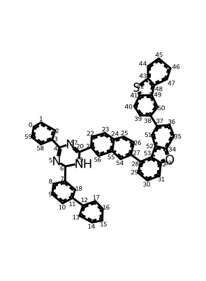 c1ccc(C2=NC(c3cccc(-c4ccccc4)c3)NC(c3ccc4ccc(-c5cccc6oc7ccc(-c8ccc9sc%10ccccc%10c9c8)cc7c56)cc4c3)=N2)cc1